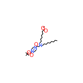 CCCCCCCCCN(CCCCCCCC(=O)OC)CC(=O)N1CCN(C(=O)OC(C)(C)C)CC1